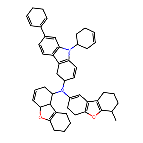 CC1CCCc2c1oc1c2C=C(N(C2C=Cc3c(c4ccc(C5=CCCC=C5)cc4n3C3CC=CCC3)C2)C2CC=CC3OC4=C(CCCC4)C32)CC1